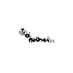 O=C(Nc1ccc(Oc2ccnc3cc(-c4ccc(COC5CN(C(=O)CO)C5)cn4)sc23)c(F)c1)NC1CC1